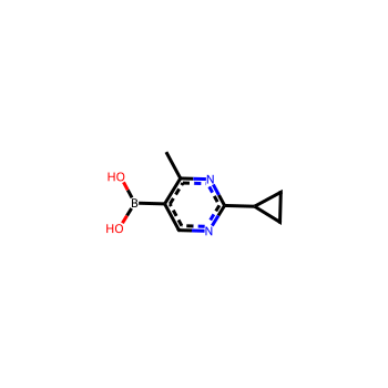 Cc1nc(C2CC2)ncc1B(O)O